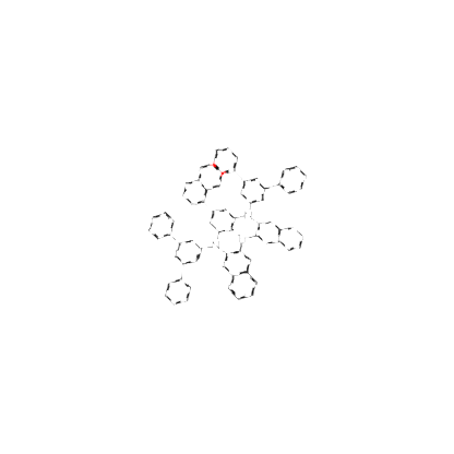 c1ccc(-c2cc(-c3ccccc3)cc(N3c4cc5ccccc5cc4B4c5cc6ccccc6cc5N(c5cc(-c6ccccc6)cc(-c6ccccc6)c5)c5cc(-c6cccc7ccccc67)cc3c54)c2)cc1